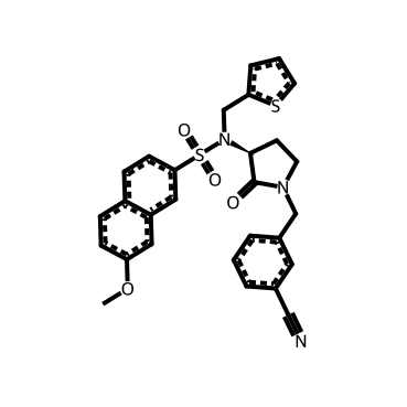 COc1ccc2ccc(S(=O)(=O)N(Cc3cccs3)[C@H]3CCN(Cc4cccc(C#N)c4)C3=O)cc2c1